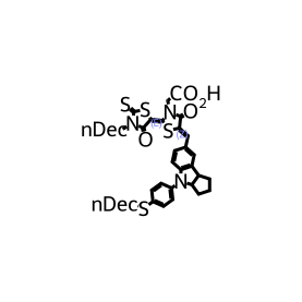 CCCCCCCCCCSc1ccc(N2c3ccc(/C=c4\s/c(=C5/SC(=S)N(CCCCCCCCCC)C5=O)n(CC(=O)O)c4=O)cc3C3CCCC32)cc1